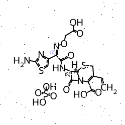 C=CC1=C(C(=O)O)N2C(=O)[C@@H](NC(=O)/C(=N\OCC(=O)O)c3csc(N)n3)[C@H]2SC1.O=S(=O)(O)O